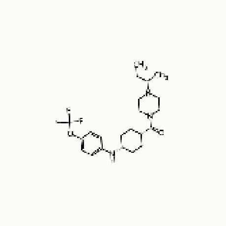 CCC(C)N1CCN(C(=O)[C@H]2CC[C@@H](Nc3ccc(OC(F)(F)F)cc3)CC2)CC1